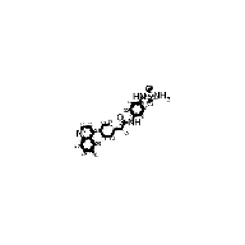 C[C@@H](C(=O)Nc1ccc(NS(N)(=O)=O)cc1)[C@H]1CC[C@@H](c2ccnc3ccc(F)cc32)CC1